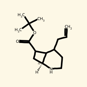 C=CCC1CCN[C@H]2CC(C(=O)OC(C)(C)C)C12